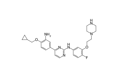 Nc1cc(-c2ccnc(Nc3ccc(F)c(OCCN4CCNCC4)c3)n2)ccc1OCC1CC1